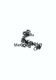 COc1ccc(COC(=O)c2nc(NCCCc3c(Cl)nnc(Cl)c3C)ccc2-c2cnn(CC34CC5CC(C3)CC(OCCO[Si](c3ccccc3)(c3ccccc3)C(C)(C)C)(C5)C4)c2C)cc1